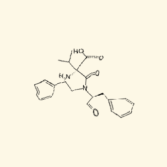 CC(C)[C@@](N)(C(=O)O)C(=O)N(CCc1ccccc1)[C@H](C=O)Cc1ccccc1